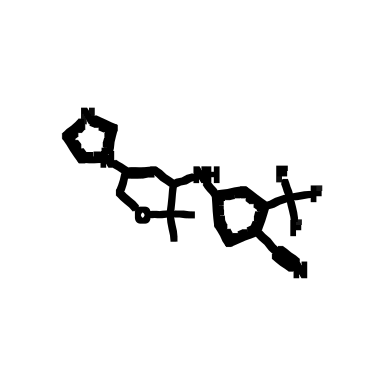 CC1(C)OCC(n2ccnc2)=CC1Nc1ccc(C#N)c(C(F)(F)F)c1